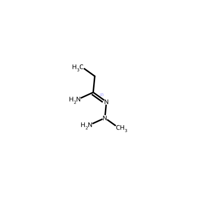 CC/C(N)=N/N(C)N